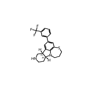 FC(F)(F)c1cccc(-c2cc3c4c(c2)[C@H]2CNCC[C@H]2N4CCCS3)c1